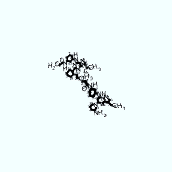 C=CC(=O)NC1CCCC(Nc2nc(C3CCCC[C@H]3CCO/C=C/C(=O)Nc3cccc(Nc4cc(N5CCCC(N)C5)nc5c(CC)cnn45)c3)nc3c2ncn3C(C)C)C1